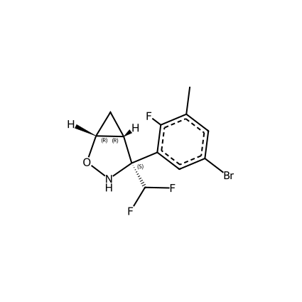 Cc1cc(Br)cc([C@@]2(C(F)F)NO[C@@H]3C[C@@H]32)c1F